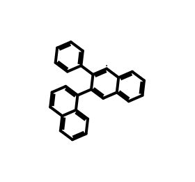 [c]1c(-c2ccccc2)c(-c2cccc3ccccc23)cc2ccccc12